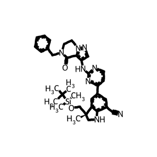 CC(C)(C)[Si](C)(C)OC[C@@]1(C)CNc2c(C#N)cc(-c3ccnc(Nc4cnn5c4C(=O)N(Cc4ccccc4)CC5)n3)cc21